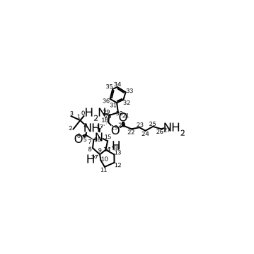 CC(C)(C)NC(=O)[C@@H]1C[C@@H]2CCCC[C@@H]2CN1C[C@@H](OC(=O)CCCCCN)[C@@H](N)Cc1ccccc1